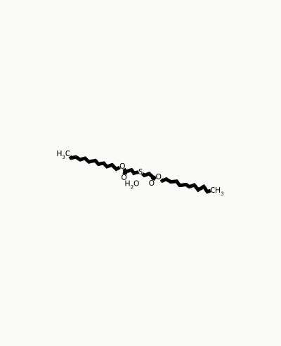 CCCCCCCCCCCCOC(=O)CCSCCC(=O)OCCCCCCCCCCCC.O